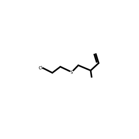 C=CC(C)CSCCCl